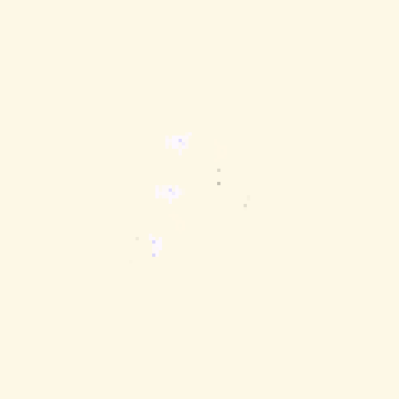 O=C(Cc1ccccn1)NC[C@@H]1CNCCO[C@H]1c1ccc(Cl)c(F)c1